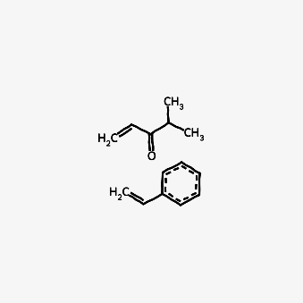 C=CC(=O)C(C)C.C=Cc1ccccc1